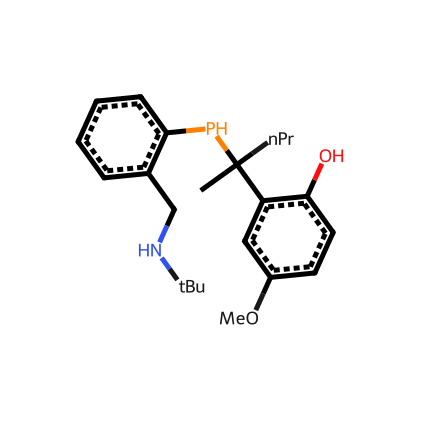 CCCC(C)(Pc1ccccc1CNC(C)(C)C)c1cc(OC)ccc1O